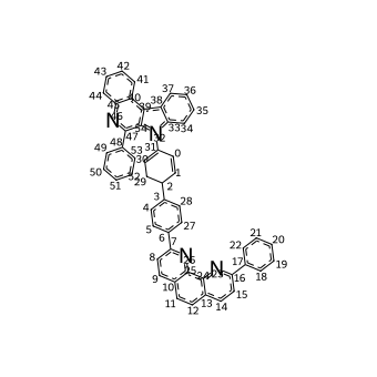 C1=CC(c2ccc(-c3ccc4ccc5ccc(-c6ccccc6)nc5c4n3)cc2)CC=C1n1c2ccccc2c2c3ccccc3nc(-c3ccccc3)c21